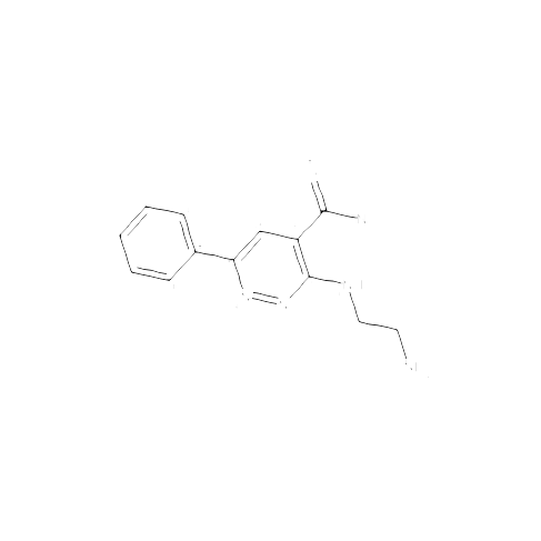 NCCNc1nnc(-c2ccccc2)cc1C(N)=O